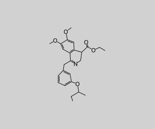 CCOC(=O)C1CN=C(Cc2cccc(OC(C)CC)c2)c2cc(OC)c(OC)cc21